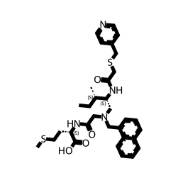 CC[C@H](C)[C@@H](CN(CC(=O)N[C@@H](CCSC)C(=O)O)Cc1cccc2ccccc12)NC(=O)CSCc1ccncc1